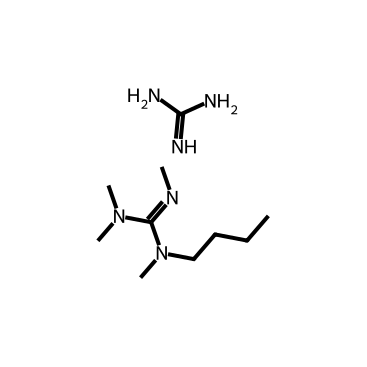 CCCCN(C)C(=NC)N(C)C.N=C(N)N